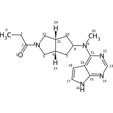 CCC(=O)N1C[C@H]2CC(N(C)c3ncnc4[nH]ccc34)C[C@H]2C1